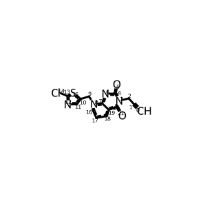 C#CCn1c(=O)nc2n(Cc3cnc(Cl)s3)cccc-2c1=O